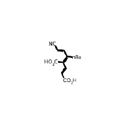 CCCCC(C=CC#N)=C(C=CC(=O)O)C(=O)O